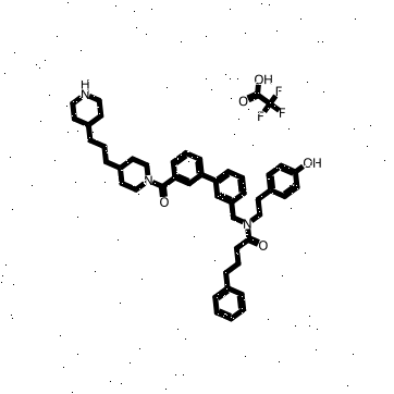 O=C(CCCc1ccccc1)N(CCc1ccc(O)cc1)Cc1cccc(-c2cccc(C(=O)N3CCC(CCCC4CCNCC4)CC3)c2)c1.O=C(O)C(F)(F)F